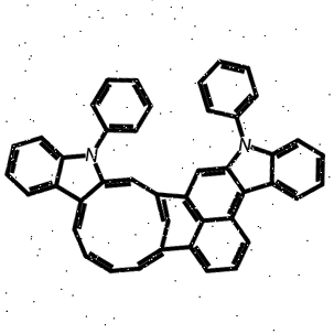 c1ccc(-n2c3ccccc3c3ccccc4cc(cc32)c2cc3c(c5cccc4c25)c2ccccc2n3-c2ccccc2)cc1